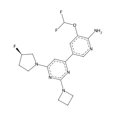 Nc1ncc(-c2cc(N3CC[C@@H](F)C3)nc(N3CCC3)n2)cc1OC(F)F